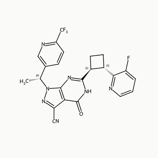 C[C@H](c1ccc(C(F)(F)F)nc1)n1nc(C#N)c2c(=O)[nH]c([C@H]3CC[C@@H]3c3ncccc3F)nc21